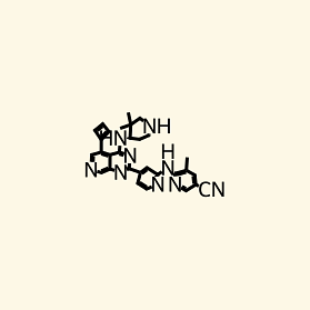 Cc1cc(C#N)cnc1Nc1cc(-c2nc(N[C@H]3CCNCC3(C)C)c3c(C4=CC=C4)cncc3n2)ccn1